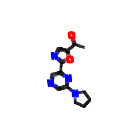 CC(=O)c1cnc(-c2cncc(N3CCCC3)n2)o1